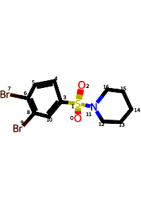 O=S(=O)(c1ccc(Br)c(Br)c1)N1CCCCC1